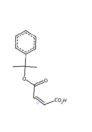 CC(C)(OC(=O)/C=C\C(=O)O)c1ccccc1